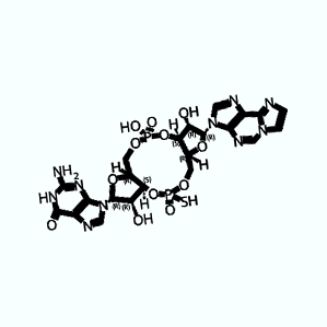 Nc1nc2c(ncn2[C@@H]2O[C@@H]3COP(=O)(O)O[C@H]4[C@@H](O)[C@H](n5cnc6c5ncn5ccnc65)O[C@@H]4COP(=O)(S)O[C@H]3[C@H]2O)c(=O)[nH]1